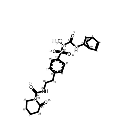 CN(C(=O)NC1CC2C=CC1C2)S(=O)(=O)c1ccc(CCNC(=O)N2CCCCC2=O)cc1